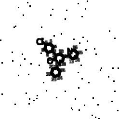 O=c1c(-c2ccc(Cl)cc2)cc(-c2ccccn2)cn1-c1ccccc1